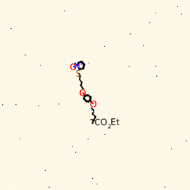 CCOC(=O)C(C)(C)CCCCOc1ccc(OCCCCCSc2cccc[n+]2[O-])cc1